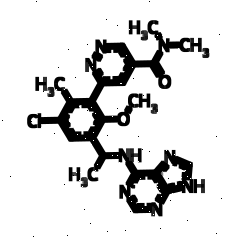 COc1c(C(C)Nc2ncnc3[nH]cnc23)cc(Cl)c(C)c1-c1cc(C(=O)N(C)C)cnn1